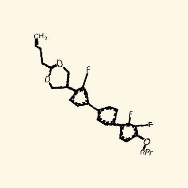 C=CCCC1OCC(c2ccc(-c3ccc(-c4ccc(OCCC)c(F)c4F)cc3)cc2F)CO1